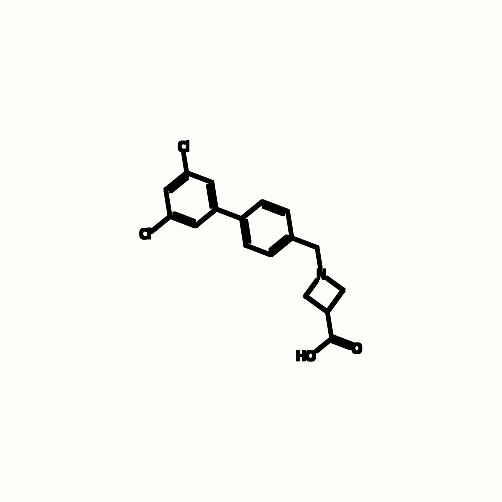 O=C(O)C1CN(Cc2ccc(-c3cc(Cl)cc(Cl)c3)cc2)C1